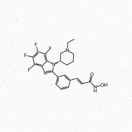 CCN1CCC[C@@H](n2c(-c3cccc(C=CC(=O)NO)c3)nc3c(F)c(F)c(F)c(F)c32)C1